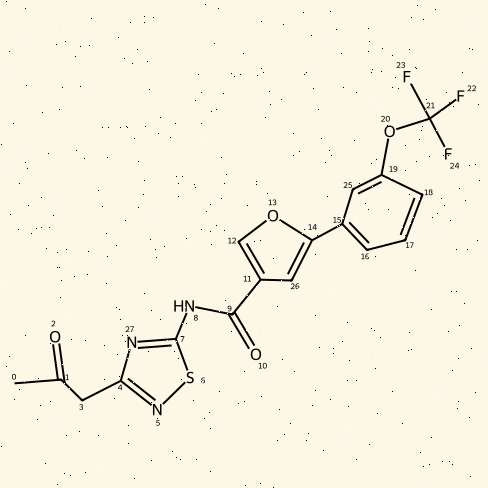 CC(=O)Cc1nsc(NC(=O)c2coc(-c3cccc(OC(F)(F)F)c3)c2)n1